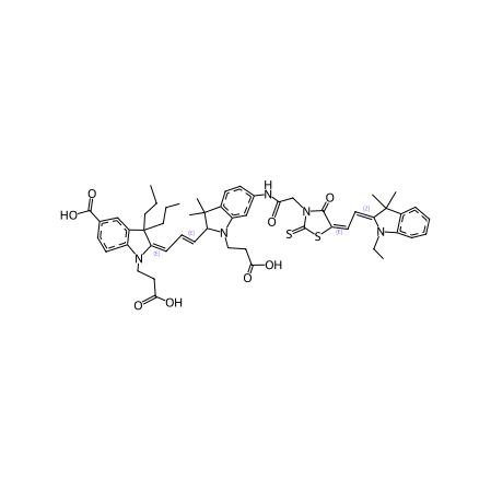 CCCC1(CCC)/C(=C\C=C\C2N(CCC(=O)O)c3cc(NC(=O)CN4C(=O)/C(=C\C=C5/N(CC)c6ccccc6C5(C)C)SC4=S)ccc3C2(C)C)N(CCC(=O)O)c2ccc(C(=O)O)cc21